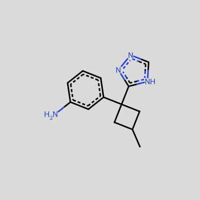 CC1CC(c2cccc(N)c2)(c2nnc[nH]2)C1